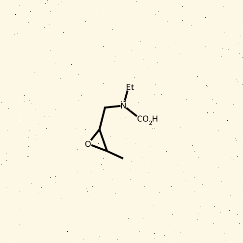 CCN(CC1OC1C)C(=O)O